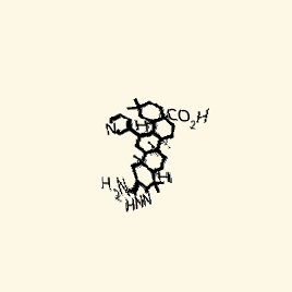 CC1(C)CC[C@]2(C(=O)O)CC[C@]3(C)C(=C(c4cccnc4)CC4[C@@]5(C)Cc6c(n[nH]c6N)C(C)(C)[C@@H]5CC[C@]43C)[C@@H]2C1